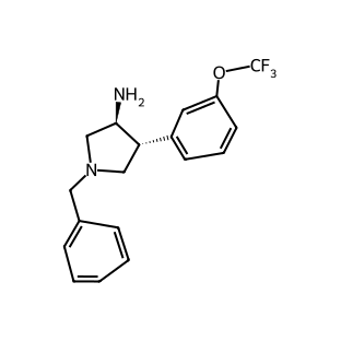 N[C@@H]1CN(Cc2ccccc2)C[C@H]1c1cccc(OC(F)(F)F)c1